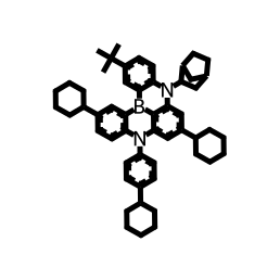 CC(C)(C)c1ccc2c(c1)B1c3cc(C4CCCCC4)ccc3N(c3ccc(C4CCCCC4)cc3)c3cc(C4CCCCC4)cc(c31)N2C1CC2CCC1C2